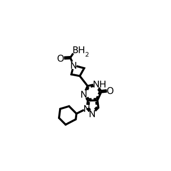 BC(=O)N1CC(c2nc3c(cnn3C3CCCCC3)c(=O)[nH]2)C1